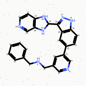 c1ccc(CNCc2cncc(-c3ccc4[nH]nc(C5Nc6ccncc6N5)c4c3)c2)cc1